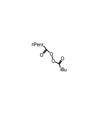 CCCCCC(=O)OOC(=O)C(C)CC